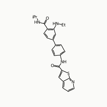 CCNc1cc(-c2ccc(NC(=O)c3cc4cccnc4s3)cc2)ccc1C(=O)NC(C)C